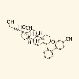 C[C@]12CC[C@H]3[C@@H](C=CC4=C(c5ccccc5-c5ccc(C#N)cc5)C(=O)CC[C@@H]43)[C@@H]1CC[C@@]2(O)C#CCO